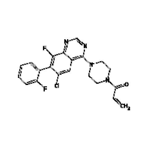 C=CC(=O)N1CCN(c2ncnc3c(F)c(-c4ccccc4F)c(Cl)cc23)CC1